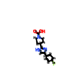 O=C(O)N1CCC(c2nc(-c3ccc(F)cc3)c[nH]2)CC1